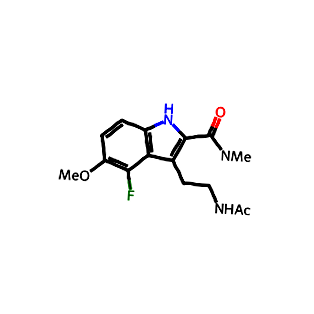 CNC(=O)c1[nH]c2ccc(OC)c(F)c2c1CCNC(C)=O